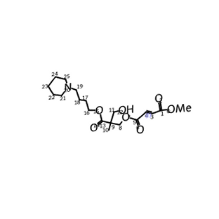 COC(=O)/C=C/C(=O)OCC(C)(CO)C(=O)OCCCCN1CCCCC1